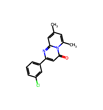 Cc1cc(C)n2c(=O)cc(-c3cccc(Cl)c3)nc2c1